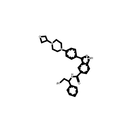 CC(C)CC(NC(=O)c1ccc2[nH]nc(-c3ccc(N4CCN(C5COC5)CC4)cc3)c2c1)c1ccccc1